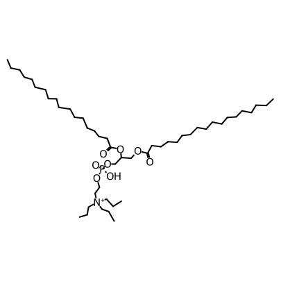 CCCCCCCCCCCCCCCCCC(=O)OCC(COP(=O)(O)OCC[N+](CCC)(CCC)CCC)OC(=O)CCCCCCCCCCCCCCCCC